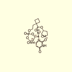 CO[C@@H]1COP(=O)(OCCC2(C(=O)OC3CCCC3)CCC2)O[C@H]1[C@@](C)(N)n1ccc(=O)[nH]c1=O